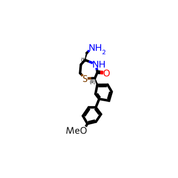 COc1ccc(-c2cccc([C@H]3SCC[C@@H](CN)NC3=O)c2)cc1